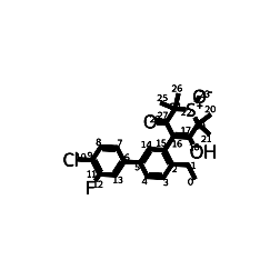 CCc1ccc(-c2ccc(Cl)c(F)c2)cc1C1=C(O)C(C)(C)[S+]([O-])C(C)(C)C1=O